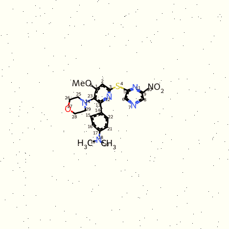 COc1cc(Sc2cncc([N+](=O)[O-])n2)nc(-c2ccc(N(C)C)cc2)c1N1CCOCC1